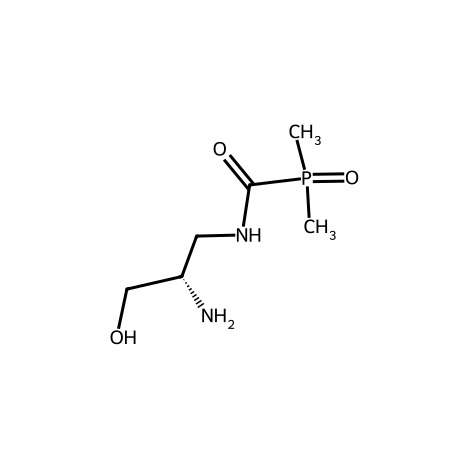 CP(C)(=O)C(=O)NC[C@H](N)CO